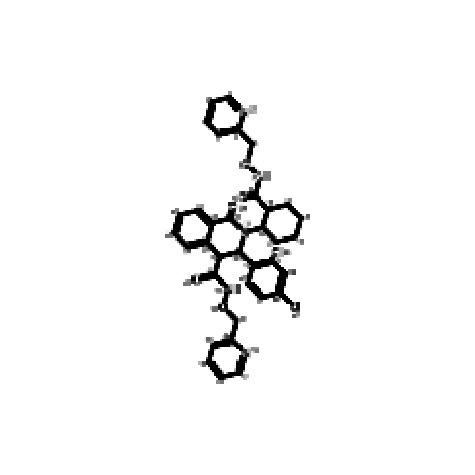 O=C(NOCc1ccccn1)C1CCCCC1N1C(=O)c2ccccc2C(C(=O)NOCc2ccccn2)C1c1ccc(Cl)cc1Cl